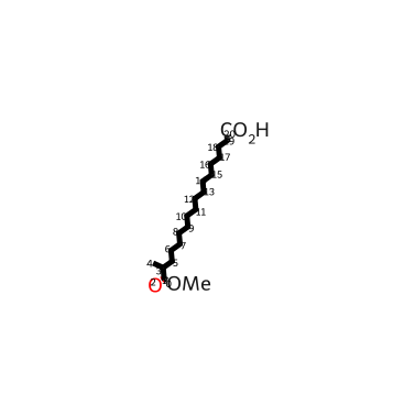 COC(=O)C(C)CCCCCCCCCCCCCCCC(=O)O